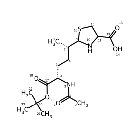 CC(=O)N[C@@H](CC[C@H](C)C1NC(C(=O)O)CS1)C(=O)OC(C)(C)C